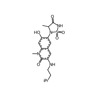 CC(C)CCNc1cc2cc(N3C(C)C(=O)NS3(=O)=O)c(O)cc2n(C)c1=O